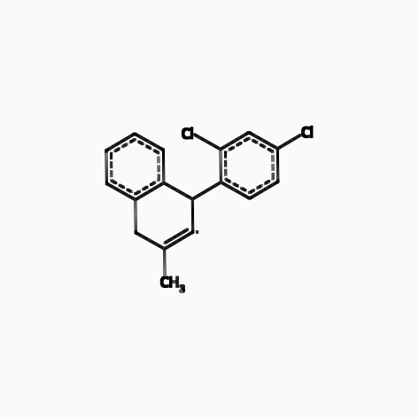 CC1=[C]C(c2ccc(Cl)cc2Cl)c2ccccc2C1